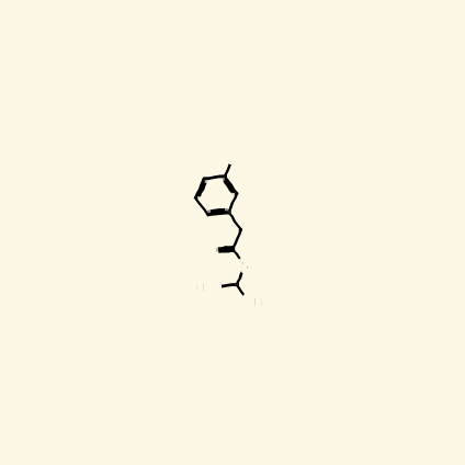 CC(C)NC(=O)Cc1cccc(O)c1